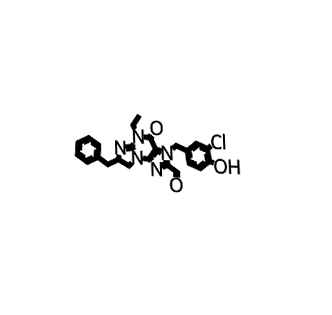 CCN1C(=O)c2c(nc(C=O)n2Cc2ccc(O)c(Cl)c2)N2CC(Cc3ccccc3)N=C12